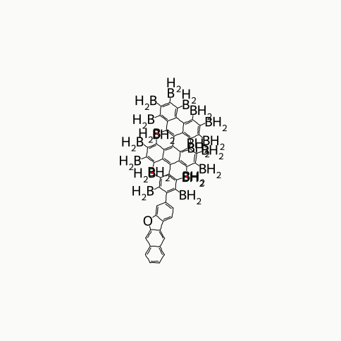 Bc1c(B)c(-c2c3c(B)c(B)c(B)c(B)c3c(-c3c(B)c4c(B)c(B)c(B)c(B)c4c4c(B)c(B)c(B)c(B)c34)c3c(B)c(B)c(B)c(B)c23)c(B)c(B)c1-c1ccc2c(c1)oc1cc3ccccc3cc12